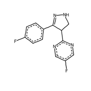 Fc1ccc(C2=NNCC2c2ncc(F)cn2)cc1